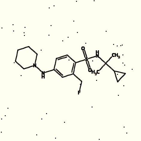 CC(C)(NS(=O)(=O)c1ccc(NN2CCCCC2)cc1CF)C1CC1